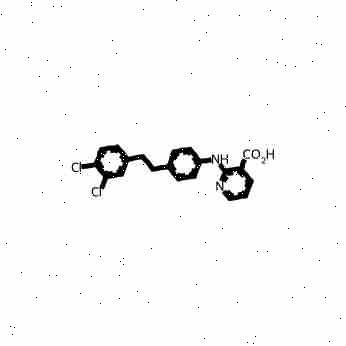 O=C(O)c1cccnc1Nc1ccc(CCc2ccc(Cl)c(Cl)c2)cc1